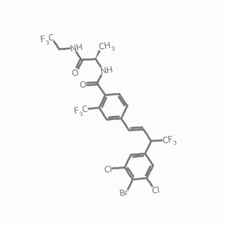 C[C@@H](NC(=O)c1ccc(/C=C/C(c2cc(Cl)c(Br)c(Cl)c2)C(F)(F)F)cc1C(F)(F)F)C(=O)NCC(F)(F)F